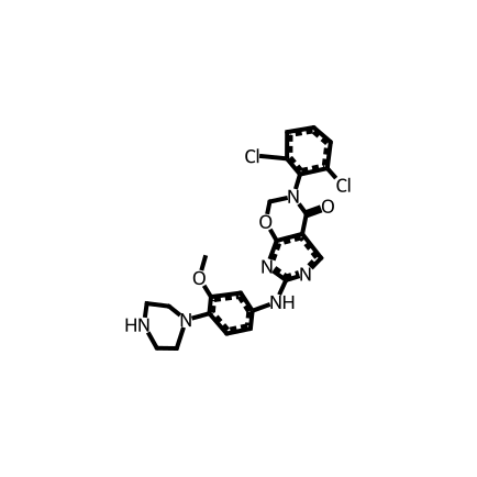 COc1cc(Nc2ncc3c(n2)OCN(c2c(Cl)cccc2Cl)C3=O)ccc1N1CCNCC1